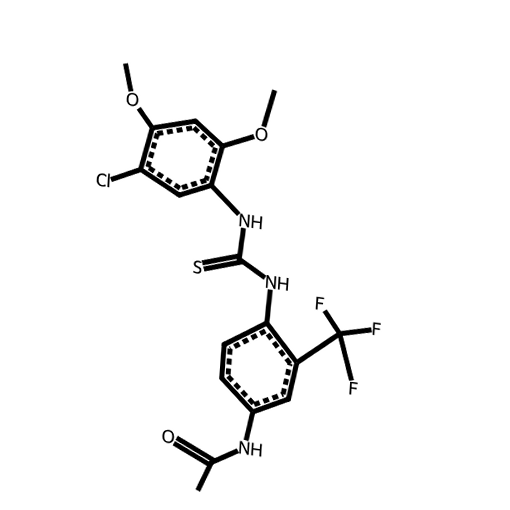 COc1cc(OC)c(NC(=S)Nc2ccc(NC(C)=O)cc2C(F)(F)F)cc1Cl